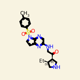 CC[C@@H]1CNC[C@@H]1C(=O)CNc1cnc2c(ccn2S(=O)(=O)c2ccc(C)cc2)n1